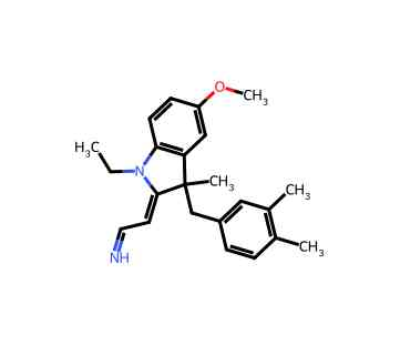 CCN1/C(=C\C=N)C(C)(Cc2ccc(C)c(C)c2)c2cc(OC)ccc21